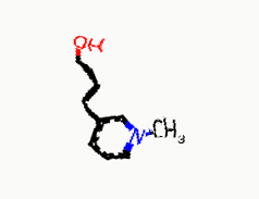 C[n+]1cccc(C=CCO)c1